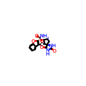 NS(=O)(=O)c1oc2ccccc2c1CC1CCCC12NC(=O)NC2=O